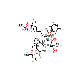 CC[Si](CC)(CC)OC(C)(C)CCCC([C@H]1CC[C@H]2[C@@H](O[Si](C)(C)C(C)(C)C)CCC[C@]12C)[C@@H](CC(O)C(C)(C)O)S(=O)(=O)c1ccccc1